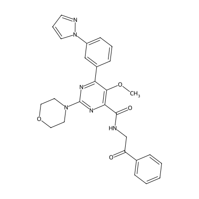 COc1c(C(=O)NCC(=O)c2ccccc2)nc(N2CCOCC2)nc1-c1cccc(-n2cccn2)c1